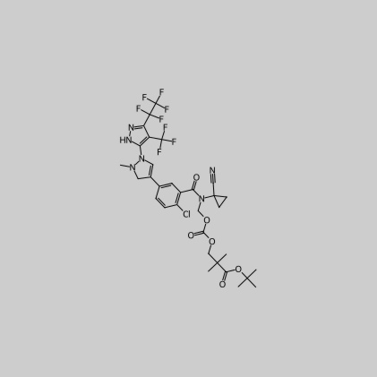 CN1CC(c2ccc(Cl)c(C(=O)N(COC(=O)OCC(C)(C)C(=O)OC(C)(C)C)C3(C#N)CC3)c2)=CN1c1[nH]nc(C(F)(F)C(F)(F)F)c1C(F)(F)F